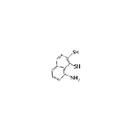 Nc1cccc2ccc(S)c(S)c12